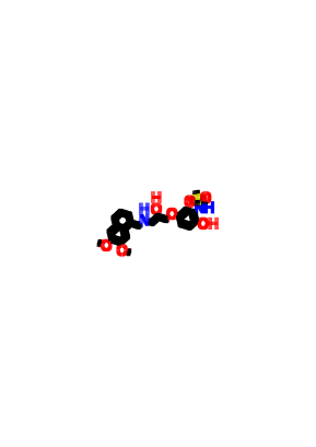 COc1cc2c(cc1OC)C(CNC[C@H](O)COc1ccc(O)c(NS(C)(=O)=O)c1)CCC2